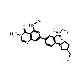 CC(C)Nc1nc(-c2ccc(N3CC[C@@H](CO)C3)c(S(C)(=O)=O)c2)cc2ncn(C)c(=O)c12